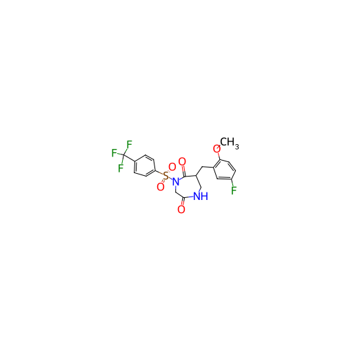 COc1ccc(F)cc1CC1CNC(=O)CN(S(=O)(=O)c2ccc(C(F)(F)F)cc2)C1=O